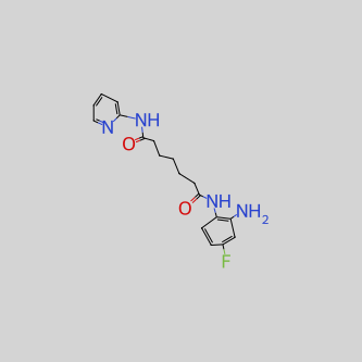 Nc1cc(F)ccc1NC(=O)CCCCCC(=O)Nc1ccccn1